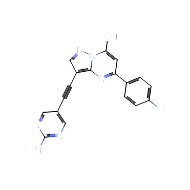 Cc1cc(-c2ccc(Cl)cc2)nc2c(C#Cc3cnc(N)nc3)cnn12